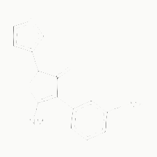 CNC1=C(c2cccc(OC)c2)C(=O)C(c2ccsc2)O1